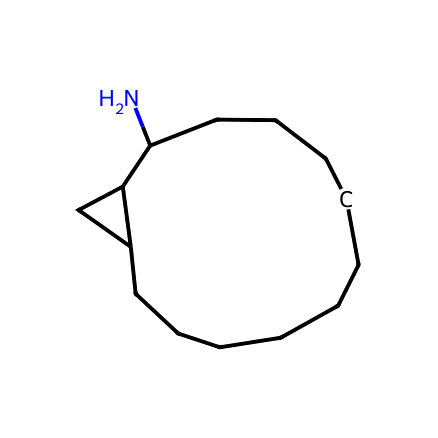 NC1CCCCCCCCCCC2CC12